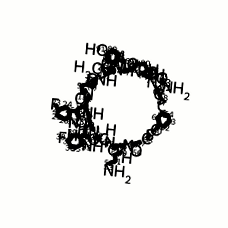 CO[C@H](C)[C@@H]1NC(=O)[C@@H]2CCCN2C(=O)[C@H](Cc2c[nH]c3ccc(F)cc23)NC(=O)[C@H](Cc2c[nH]c3ccc(F)cc23)NC(=O)CNC(=O)[C@H](CCCCN)NC(=O)CCSCc2cccc(c2)CSC[C@@H](C(N)=O)NC(=O)[C@]2(C)CCCN2C(=O)[C@H](Cc2ccc(O)cc2)NC1=O